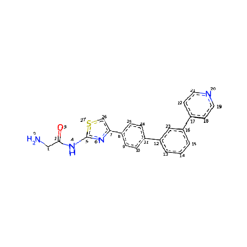 NCC(=O)Nc1nc(-c2ccc(-c3cccc(-c4ccncc4)c3)cc2)cs1